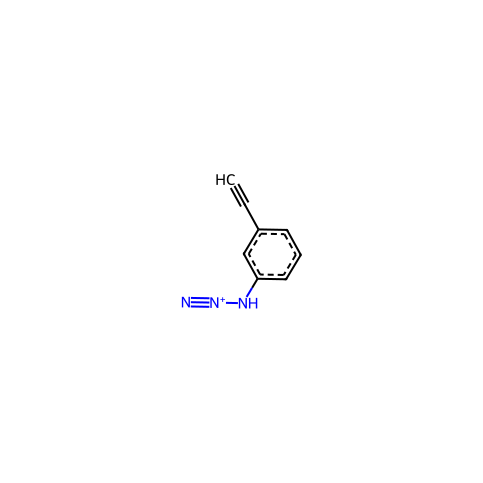 C#Cc1cccc(N[N+]#N)c1